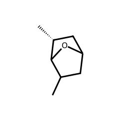 CC1CC2C[C@@H](C)C1O2